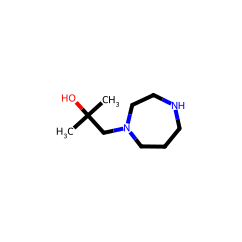 CC(C)(O)CN1CCCNCC1